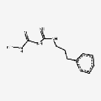 CCCNC(=O)NC(=N)NCCCc1ccccn1